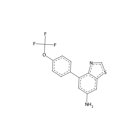 Nc1cc(-c2ccc(OC(F)(F)F)cc2)c2ncsc2c1